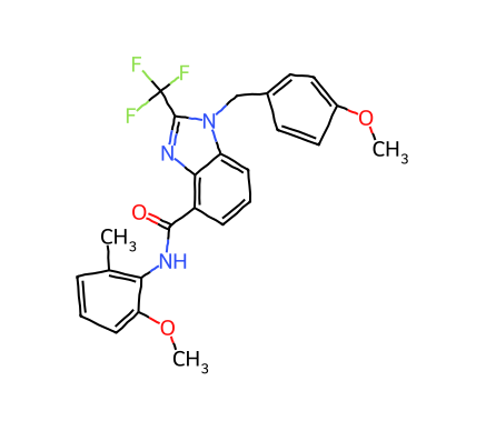 COc1ccc(Cn2c(C(F)(F)F)nc3c(C(=O)Nc4c(C)cccc4OC)cccc32)cc1